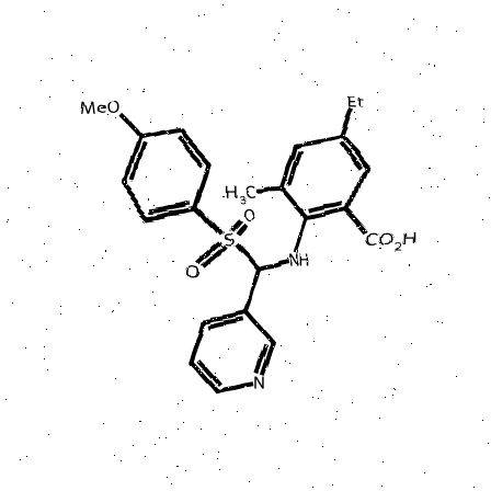 CCc1cc(C)c(NC(c2cccnc2)S(=O)(=O)c2ccc(OC)cc2)c(C(=O)O)c1